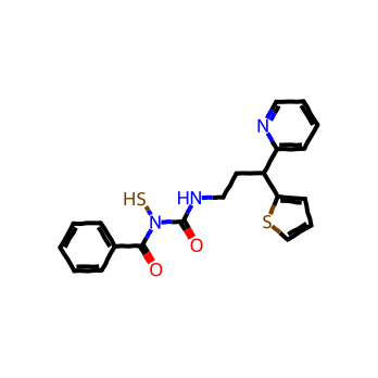 O=C(NCCC(c1ccccn1)c1cccs1)N(S)C(=O)c1ccccc1